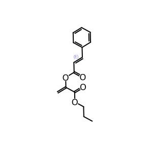 C=C(OC(=O)/C=C/c1ccccc1)C(=O)OCCC